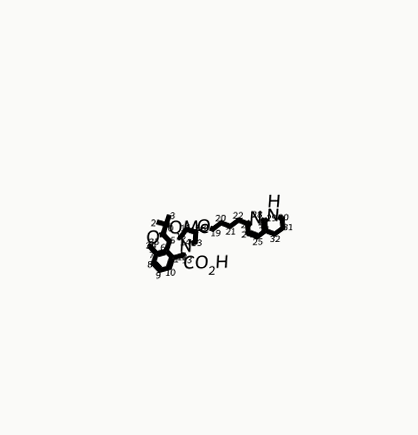 COC(C)(C)C1Cc2c(cccc2C(C(=O)O)N2CCC(OCCCCc3ccc4c(n3)NCCC4)C2)CO1